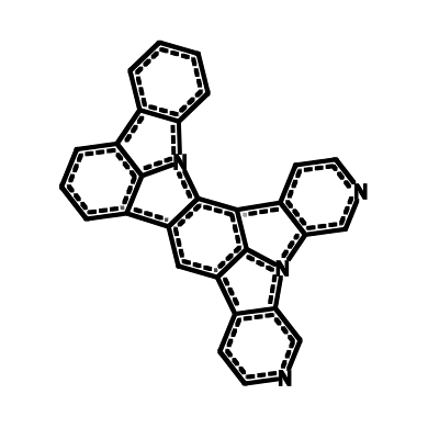 c1ccc2c(c1)c1cccc3c4cc5c6ccncc6n6c7cnccc7c(c56)c4n2c13